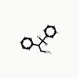 CCC(c1cc[c]cc1)C(F)(F)c1ccccc1